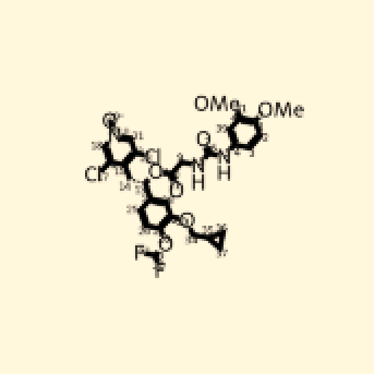 COc1ccc(NC(=O)NCC(=O)O[C@@H](Cc2c(Cl)c[n+]([O-])cc2Cl)c2ccc(OC(F)F)c(OCC3CC3)c2)cc1OC